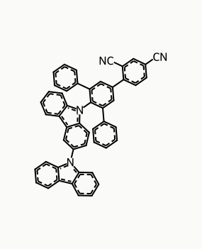 N#Cc1ccc(-c2cc(-c3ccccc3)c(-n3c4ccccc4c4cc(-n5c6ccccc6c6ccccc65)ccc43)c(-c3ccccc3)c2)c(C#N)c1